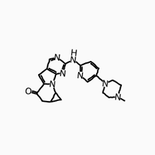 CN1CCN(c2ccc(Nc3ncc4cc5n(c4n3)C3CC3CC5=O)nc2)CC1